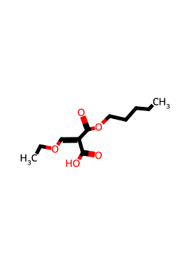 CCCCCOC(=O)C(=COCC)C(=O)O